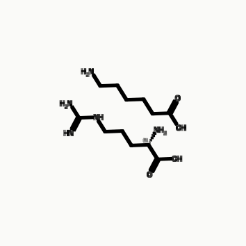 N=C(N)NCCC[C@H](N)C(=O)O.NCCCCCC(=O)O